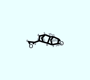 C1OC1C1CC2CC1C1C3CC(C4OC34)C21